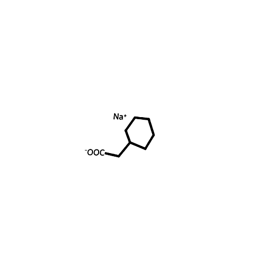 O=C([O-])CC1CCCCC1.[Na+]